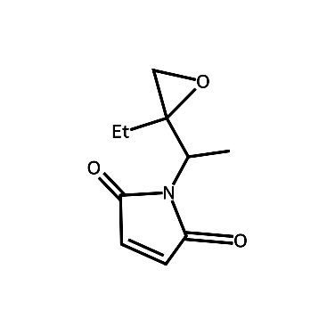 CCC1(C(C)N2C(=O)C=CC2=O)CO1